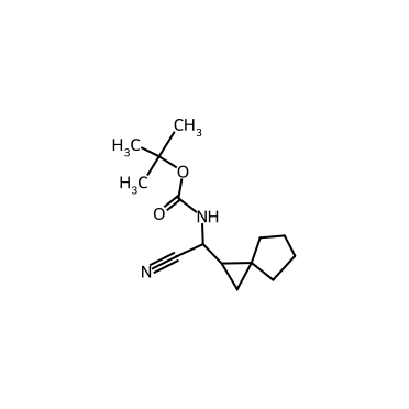 CC(C)(C)OC(=O)NC(C#N)C1CC12CCCC2